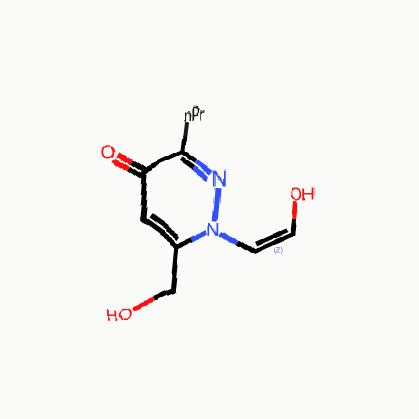 CCCc1nn(/C=C\O)c(CO)cc1=O